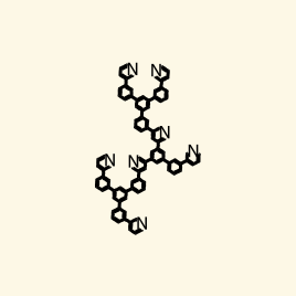 c1cncc(-c2cccc(-c3cc(-c4cccc(-c5cccnc5)c4)cc(-c4cccc(-c5cncc(-c6cc(-c7cccc(-c8cccnc8)c7)cc(-c7cncc(-c8cccc(-c9cc(-c%10cccc(-c%11cccnc%11)c%10)cc(-c%10cccc(-c%11cccnc%11)c%10)c9)c8)c7)c6)c5)c4)c3)c2)c1